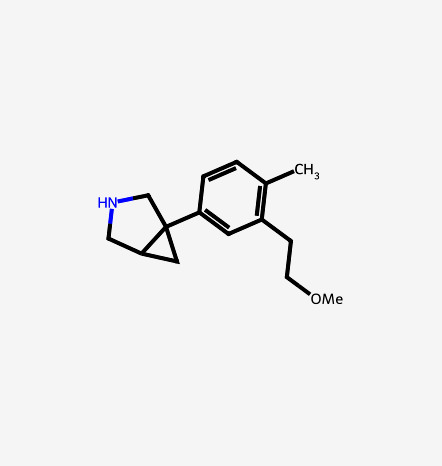 COCCc1cc(C23CNCC2C3)ccc1C